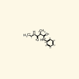 CCNC(=O)C(C)C(=O)Nc1ccccc1